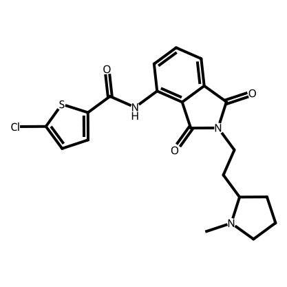 CN1CCCC1CCN1C(=O)c2cccc(NC(=O)c3ccc(Cl)s3)c2C1=O